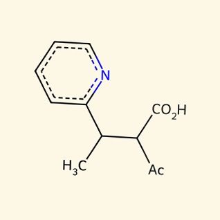 CC(=O)C(C(=O)O)C(C)c1ccccn1